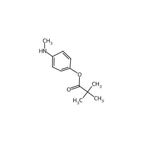 CNc1ccc(OC(=O)C(C)(C)C)cc1